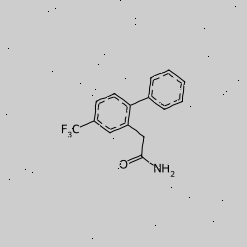 NC(=O)Cc1cc(C(F)(F)F)ccc1-c1ccccc1